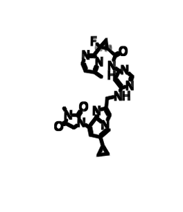 Cc1ccnc([C@]2(F)C[C@H]2C(=O)Nc2cc(NCc3cn4cc(C5CC5)cc(N5CC(=O)N(C)C5=O)c4n3)ncn2)n1